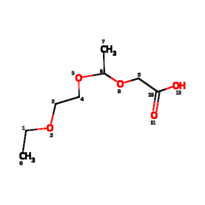 CCOCCOC(C)OCC(=O)O